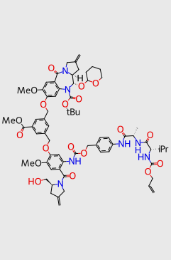 C=CCOC(=O)N[C@H](C(=O)N[C@@H](C)C(=O)Nc1ccc(COC(=O)Nc2cc(OCc3cc(COc4cc5c(cc4OC)C(=O)N4CC(=C)C[C@H]4[C@H](OC4CCCCO4)N5C(=O)OC(C)(C)C)cc(C(=O)OC)c3)c(OC)cc2C(=O)N2CC(=C)C[C@H]2CO)cc1)C(C)C